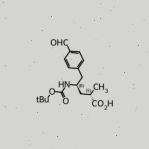 C[C@@H](C[C@H](Cc1ccc(C=O)cc1)NC(=O)OC(C)(C)C)C(=O)O